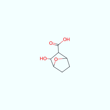 O=C(O)C1C2CCC(O2)C1O